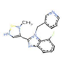 CN1SNC=C1c1nc2cccc(F)c2n1Cc1cccnc1